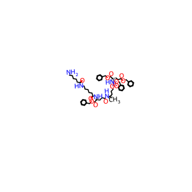 C[C@H](CCCOP(=O)(N[C@@H](CCC(=O)OCc1ccccc1)C(=O)OCc1ccccc1)OCc1ccccc1)NC(=O)CC[C@H](NC(=O)CCCCCNC(=O)CCCCCN)C(=O)OCc1ccccc1